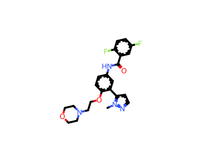 Cn1nccc1-c1cc(NC(=O)c2cc(F)ccc2F)ccc1OCCN1CCOCC1